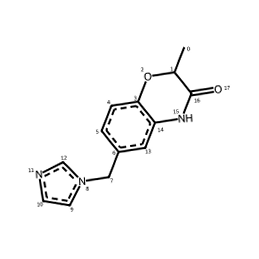 CC1Oc2ccc(Cn3ccnc3)cc2NC1=O